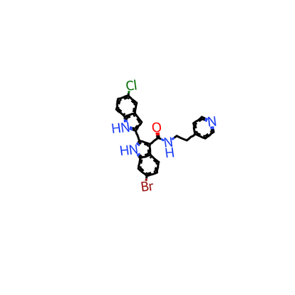 O=C(NCCc1ccncc1)c1c(-c2cc3cc(Cl)ccc3[nH]2)[nH]c2cc(Br)ccc12